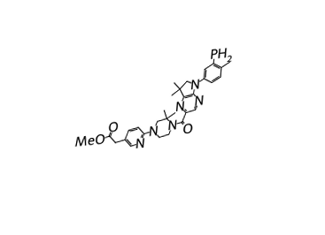 COC(=O)Cc1ccc(N2CCN(C(=O)c3cnc4c(n3)C(C)(C)CN4c3ccc(C)c(P)c3)C(C)(C)C2)nc1